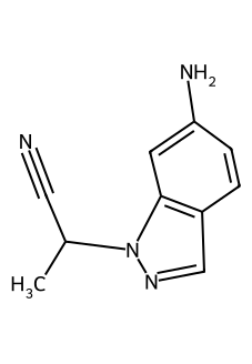 CC(C#N)n1ncc2ccc(N)cc21